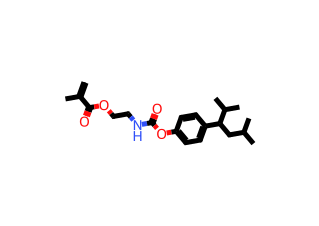 C=C(C)C(=O)OCCNC(=O)Oc1ccc(C(CC(C)C)C(C)C)cc1